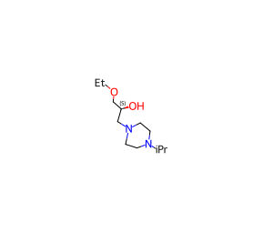 CCOC[C@@H](O)CN1CCN(C(C)C)CC1